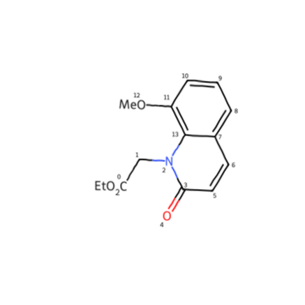 CCOC(=O)Cn1c(=O)ccc2cccc(OC)c21